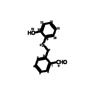 O=Cc1ccccc1CSc1ccccc1O